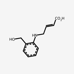 O=C(O)C=CCNc1ccccc1CO